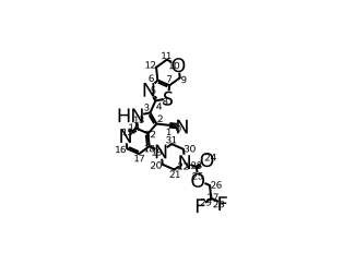 N#Cc1c(-c2nc3c(s2)COCC3)[nH]c2nccc(N3CCN(C(=O)OCC(F)F)CC3)c12